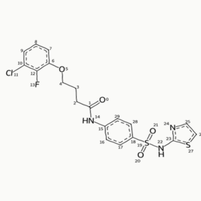 O=C(CCCOc1cccc(Cl)c1F)Nc1ccc(S(=O)(=O)Nc2nccs2)cc1